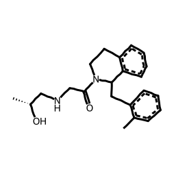 Cc1ccccc1CC1c2ccccc2CCN1C(=O)CNC[C@@H](C)O